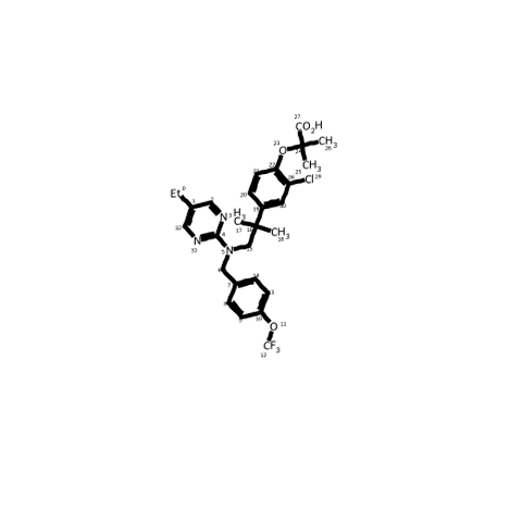 CCc1cnc(N(Cc2ccc(OC(F)(F)F)cc2)CC(C)(C)c2ccc(OC(C)(C)C(=O)O)c(Cl)c2)nc1